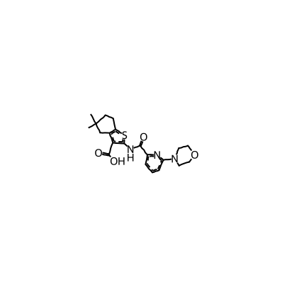 CC1(C)CCc2sc(NC(=O)c3cccc(N4CCOCC4)n3)c(C(=O)O)c2C1